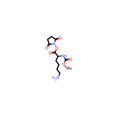 CC(C)(C)OC(=O)NC(CCCCN)C(=O)ON1C(=O)CCC1=O